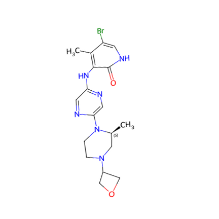 Cc1c(Br)c[nH]c(=O)c1Nc1cnc(N2CCN(C3COC3)C[C@@H]2C)cn1